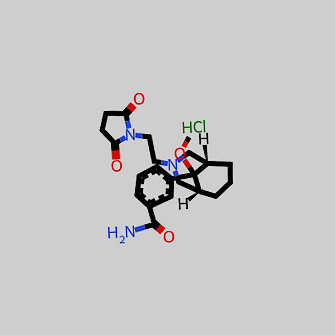 COC1(c2cccc(C(N)=O)c2)[C@@H]2CCC[C@H]1CN(CCN1C(=O)CCC1=O)C2.Cl